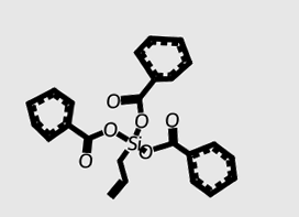 C=CC[Si](OC(=O)c1ccccc1)(OC(=O)c1ccccc1)OC(=O)c1ccccc1